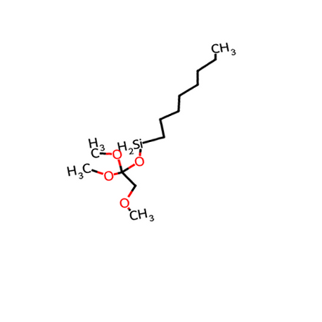 CCCCCCCC[SiH2]OC(COC)(OC)OC